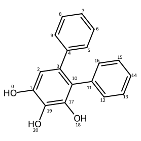 Oc1cc(-c2ccccc2)c(-c2ccccc2)c(O)c1O